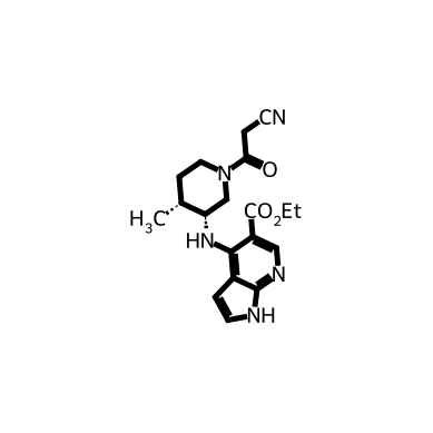 CCOC(=O)c1cnc2[nH]ccc2c1N[C@H]1CN(C(=O)CC#N)CC[C@H]1C